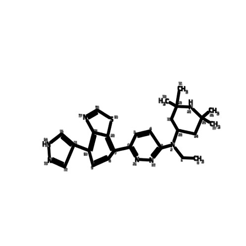 CCN(c1ccc(-c2ccc(-c3cn[nH]c3)c3ncsc23)nn1)C1CC(C)(C)NC(C)(C)C1